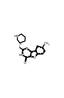 Cc1ccc2oc3c(=O)[nH]c(C[C@H]4CCCNC4)nc3c2c1